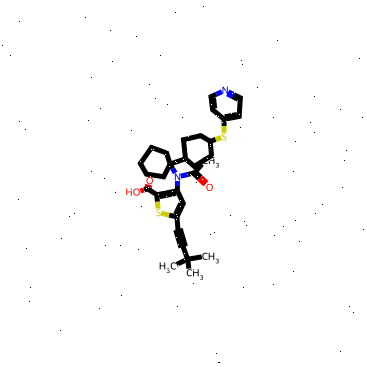 CC(=O)N(c1cc(C#CC(C)(C)C)sc1C(=O)O)C1(C2CCC(Sc3ccncc3)CC2)CCCCC1